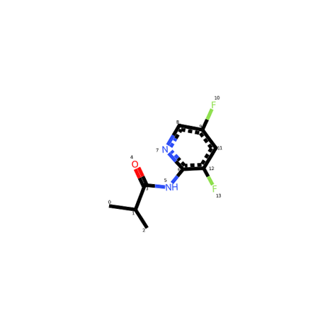 CC(C)C(=O)Nc1ncc(F)cc1F